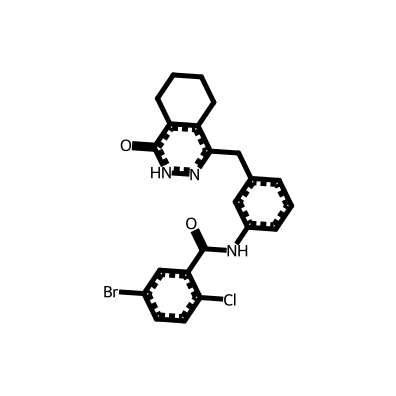 O=C(Nc1cccc(Cc2n[nH]c(=O)c3c2CCCC3)c1)c1cc(Br)ccc1Cl